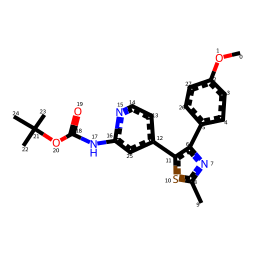 COc1ccc(-c2nc(C)sc2-c2ccnc(NC(=O)OC(C)(C)C)c2)cc1